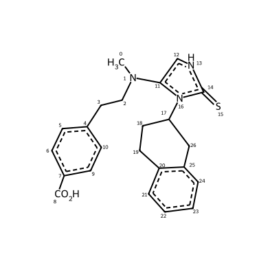 CN(CCc1ccc(C(=O)O)cc1)c1c[nH]c(=S)n1C1CCc2ccccc2C1